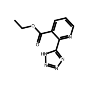 CCOC(=O)c1cccnc1-c1nnn[nH]1